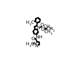 Cc1ccccc1-c1cc2ccc(NC(=O)c3ccnn3C)cc2n1C(=O)OC(C)(C)C